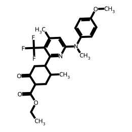 CCOC(=O)C1CC(C)C(c2nc(N(C)c3ccc(OC)cc3)cc(C)c2C(F)(F)F)CC1=O